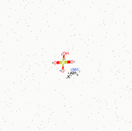 N.O=S(=O)([O-])O.[AlH3].[K+]